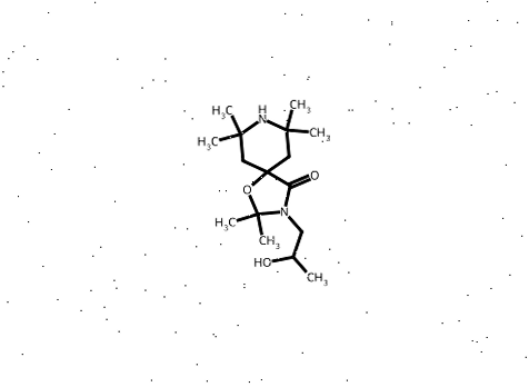 CC(O)CN1C(=O)C2(CC(C)(C)NC(C)(C)C2)OC1(C)C